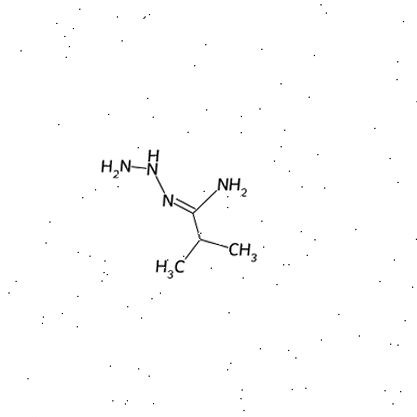 CC(C)/C(N)=N/NN